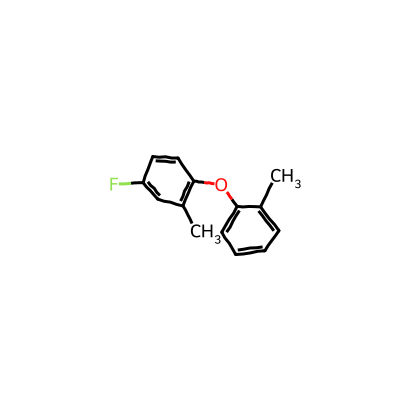 Cc1ccccc1Oc1ccc(F)cc1C